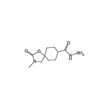 CN1CC2(CCC(C(=O)NN)CC2)OC1=O